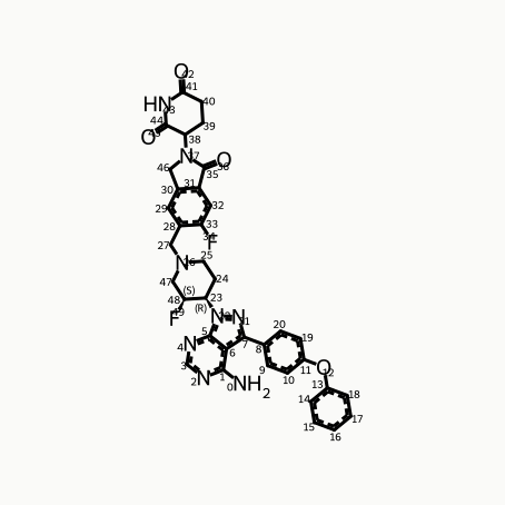 Nc1ncnc2c1c(-c1ccc(Oc3ccccc3)cc1)nn2[C@@H]1CCN(Cc2cc3c(cc2F)C(=O)N(C2CCC(=O)NC2=O)C3)C[C@@H]1F